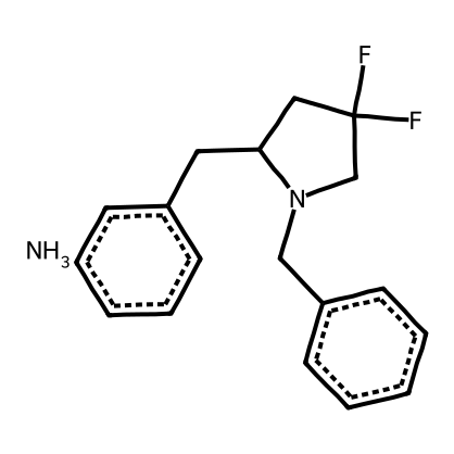 FC1(F)CC(Cc2ccccc2)N(Cc2ccccc2)C1.N